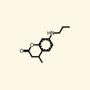 CCCNc1ccc2c(c1)OC(=O)CC2C